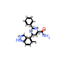 Cc1ccc2[nH]ncc2c1-c1cc(C(N)=O)nc(-c2ccccc2)n1